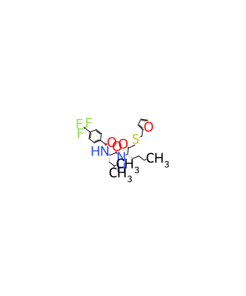 CCCC[C@H](NC(=O)[C@H](CC(C)C)NC(=O)c1ccc(C(F)(F)F)cc1)C(=O)CSCc1ccco1